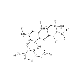 CN(F)C1C(O)C(OC2C(NF)CC(NF)C(OC3OC(CNF)CCC3NF)C2O)OCC1(C)O